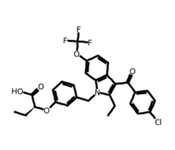 CCc1c(C(=O)c2ccc(Cl)cc2)c2ccc(OC(F)(F)F)cc2n1Cc1cccc(O[C@@H](CC)C(=O)O)c1